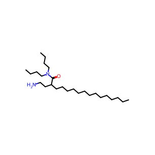 CCCCCCCCCCCCCCC(CCN)C(=O)N(CCCC)CCCC